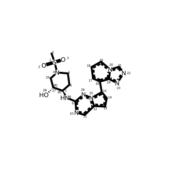 CS(=O)(=O)N1CC[C@@H](Nc2ncc3ccc(-c4cccn5cnnc45)n3n2)[C@H](O)C1